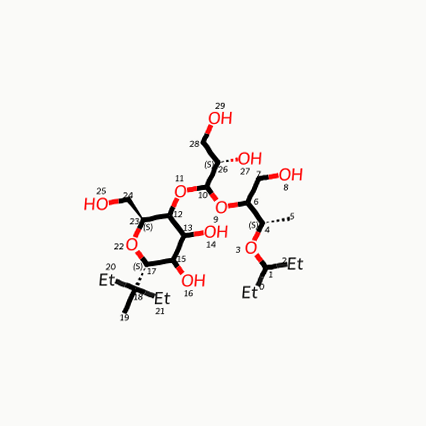 CCC(CC)O[C@@H](C)C(CO)OC(OC1C(O)C(O)[C@H](C(C)(CC)CC)O[C@H]1CO)[C@@H](O)CO